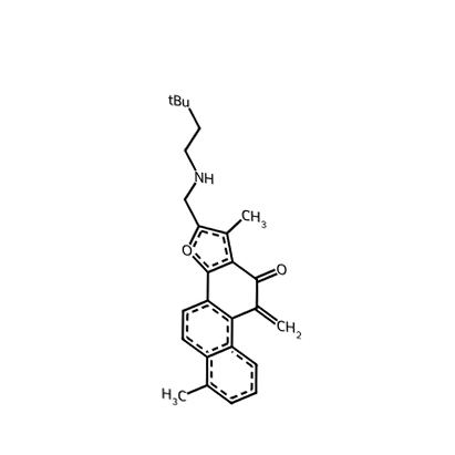 C=C1C(=O)c2c(oc(CNCCC(C)(C)C)c2C)-c2ccc3c(C)cccc3c21